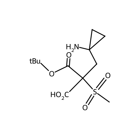 CC(C)(C)OC(=O)C(CC1(N)CC1)(C(=O)O)S(C)(=O)=O